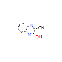 N#Cc1nc2ccccc2nc1O